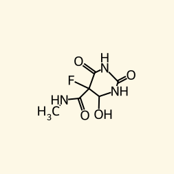 CNC(=O)C1(F)C(=O)NC(=O)NC1O